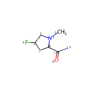 CN1CC(F)CC1C(=O)I